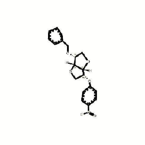 O=[N+]([O-])c1ccc(O[C@@H]2CO[C@H]3[C@@H]2OC[C@H]3OCc2ccccc2)cc1